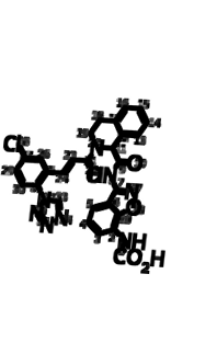 O=C(O)Nc1cccc2c(NC(=O)C3c4ccccc4CCN3C(=O)C=Cc3cc(Cl)ccc3-n3cnnn3)noc12